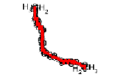 C=C(C)C(=O)OCCCCCCOc1ccc(C(=O)Oc2ccc(-c3ccc(C(=O)OCCCCCCOC(=O)CCC(=O)OCCCOC(=O)c4ccc(OCCCOC(=O)CCC(=O)OCCCCCCOC(=O)c5ccc(-c6ccc(OC(=O)c7ccc(OCCCCCCOC(=O)C(=C)C)cc7)cc6)cc5)cc4)cc3)cc2)cc1